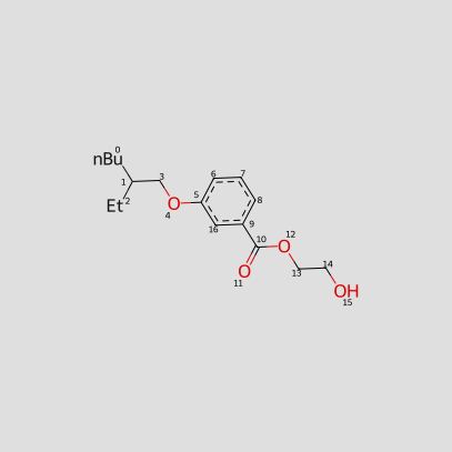 CCCCC(CC)COc1cccc(C(=O)OCCO)c1